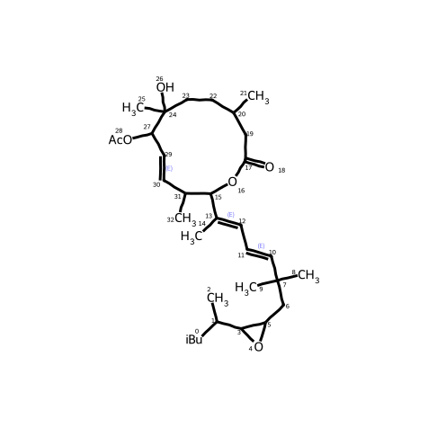 CCC(C)C(C)C1OC1CC(C)(C)/C=C/C=C(\C)C1OC(=O)CC(C)CCC(C)(O)C(OC(C)=O)/C=C/C1C